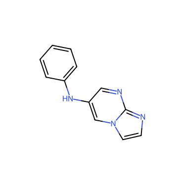 c1ccc(Nc2cnc3nccn3c2)cc1